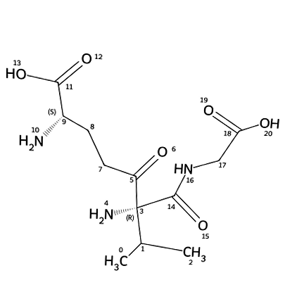 CC(C)[C@@](N)(C(=O)CC[C@H](N)C(=O)O)C(=O)NCC(=O)O